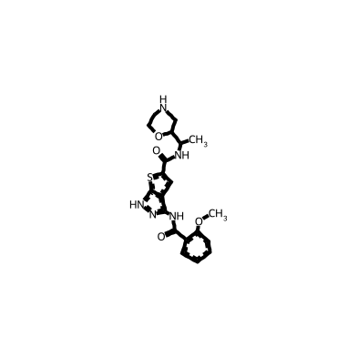 COc1ccccc1C(=O)Nc1n[nH]c2sc(C(=O)NC(C)C3CNCCO3)cc12